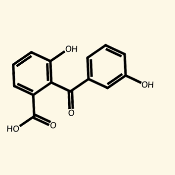 O=C(O)c1cccc(O)c1C(=O)c1cccc(O)c1